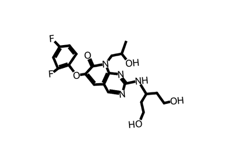 CC(O)Cn1c(=O)c(Oc2ccc(F)cc2F)cc2cnc(NC(CCO)CCO)nc21